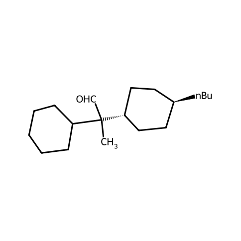 CCCC[C@H]1CC[C@H](C(C)(C=O)C2CCCCC2)CC1